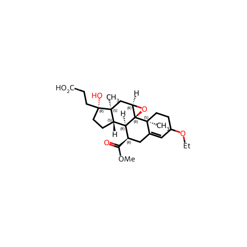 CCOC1C=C2C[C@@H](C(=O)OC)[C@H]3[C@@H]4CC[C@@](O)(CCC(=O)O)[C@@]4(C)C[C@H]4O[C@@]34[C@@]2(C)CC1